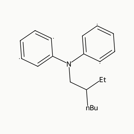 CCCCC(CC)CN(c1[c]cc[c]c1)c1[c]cc[c]c1